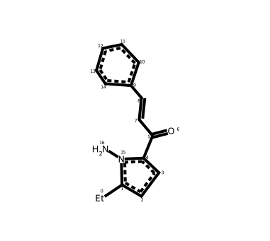 CCc1ccc(C(=O)C=Cc2ccccc2)n1N